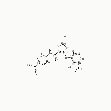 O=C(O)c1ccc(NC(=O)[C@H]2C[C@H](F)CN2Cc2nccc3c2OCO3)cc1